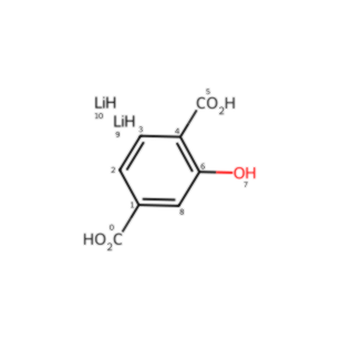 O=C(O)c1ccc(C(=O)O)c(O)c1.[LiH].[LiH]